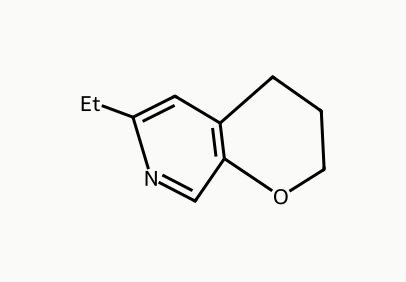 CCc1cc2c(cn1)OCCC2